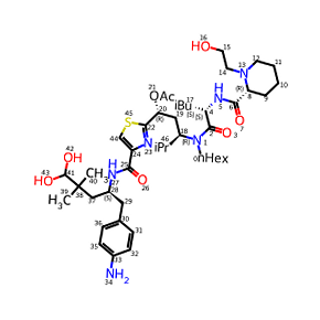 CCCCCCN(C(=O)[C@@H](NC(=O)[C@H]1CCCCN1CCO)[C@@H](C)CC)[C@H](C[C@@H](OC(C)=O)c1nc(C(=O)N[C@@H](Cc2ccc(N)cc2)CC(C)(C)C(O)O)cs1)C(C)C